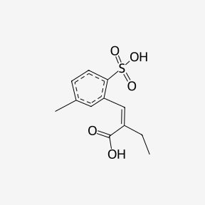 CCC(=Cc1cc(C)ccc1S(=O)(=O)O)C(=O)O